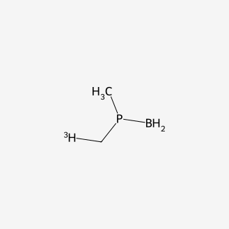 [3H]CP(B)C